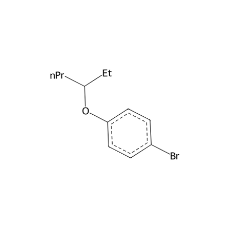 CCCC(CC)Oc1ccc(Br)cc1